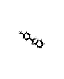 Brc1ccc(-c2nc3cnccc3o2)cc1